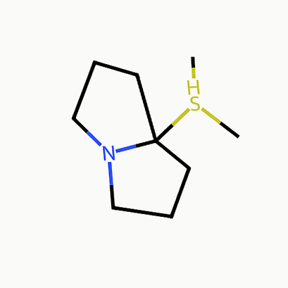 C[SH](C)C12CCCN1CCC2